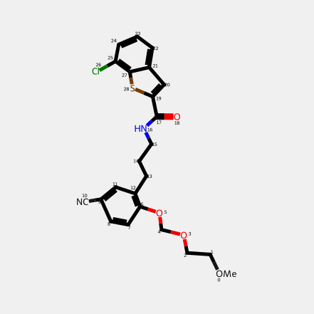 COCCOCOc1ccc(C#N)cc1CCCNC(=O)c1cc2cccc(Cl)c2s1